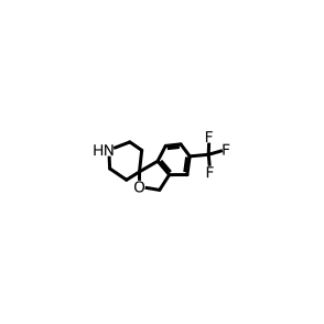 FC(F)(F)c1ccc2c(c1)COC21CCNCC1